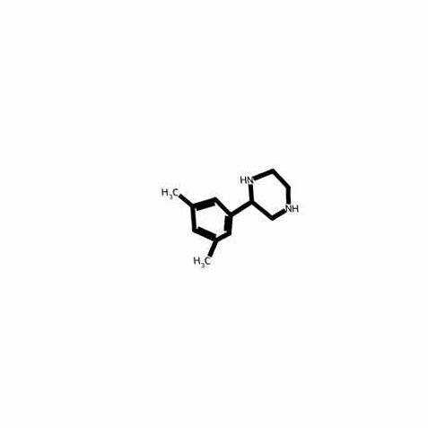 Cc1cc(C)cc(C2CNCCN2)c1